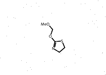 COCOC1=NCCS1